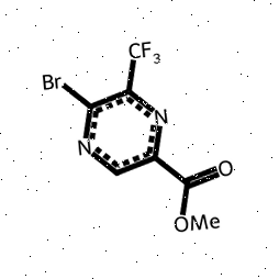 COC(=O)c1cnc(Br)c(C(F)(F)F)n1